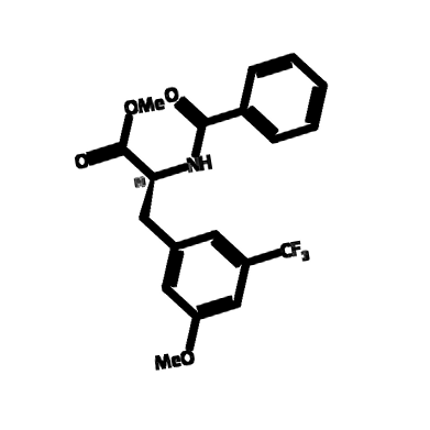 COC(=O)[C@H](Cc1cc(OC)cc(C(F)(F)F)c1)NC(=O)c1ccccc1